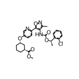 COC(=O)[C@H]1CCC[C@H](Oc2ccc(-c3onc(C)c3NC(=O)O[C@H](C)c3ccccc3Cl)nc2)C1